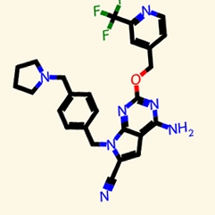 N#Cc1cc2c(N)nc(OCc3ccnc(C(F)(F)F)c3)nc2n1Cc1ccc(CN2CCCC2)cc1